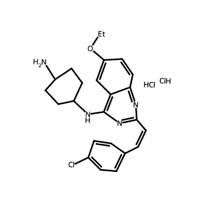 CCOc1ccc2nc(/C=C\c3ccc(Cl)cc3)nc(NC3CCC(N)CC3)c2c1.Cl.Cl